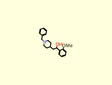 COc1ccccc1C(O)CC1CCN(Cc2ccccc2)CC1